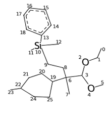 CCOC(OC)C(C)(CC[Si](C)(C)c1ccccc1)C1CCC(C)CC1